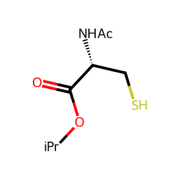 CC(=O)N[C@H](CS)C(=O)OC(C)C